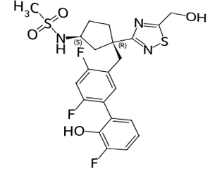 CS(=O)(=O)N[C@H]1CC[C@](Cc2cc(-c3cccc(F)c3O)c(F)cc2F)(c2nsc(CO)n2)C1